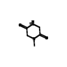 CN1CC(=O)[15NH]CC1=O